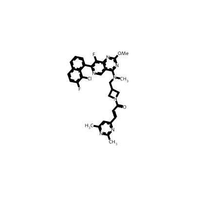 COc1nc(N(C)CC2CN(C(=O)/C=C/c3cc(C)nc(C)n3)C2)c2cnc(-c3cccc4ccc(F)c(Cl)c34)c(F)c2n1